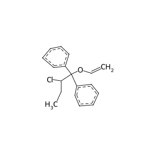 C=COC(c1ccccc1)(c1ccccc1)C(Cl)CC